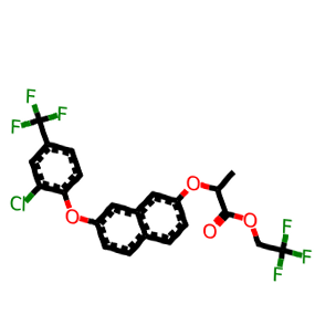 CC(Oc1ccc2ccc(Oc3ccc(C(F)(F)F)cc3Cl)cc2c1)C(=O)OCC(F)(F)F